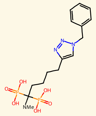 CNC(CCCCc1cn(Cc2ccccc2)nn1)(P(=O)(O)O)P(=O)(O)O